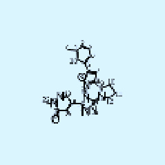 Cc1cccc(-c2cc([C@H]3CCCN3c3nnc(-c4cnn(C)c(=O)c4)n3C)no2)c1